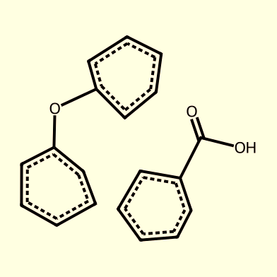 O=C(O)c1ccccc1.c1ccc(Oc2ccccc2)cc1